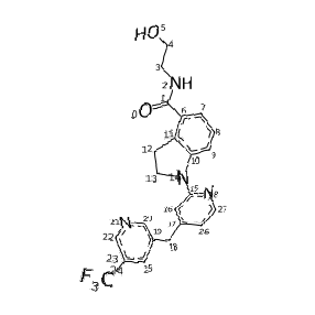 O=C(NCCO)c1cccc2c1CCN2c1cc(Cc2cncc(C(F)(F)F)c2)ccn1